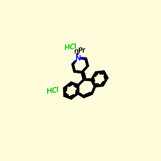 CCCN1CCC(=C2c3ccccc3C=Cc3ccccc32)CC1.Cl.Cl